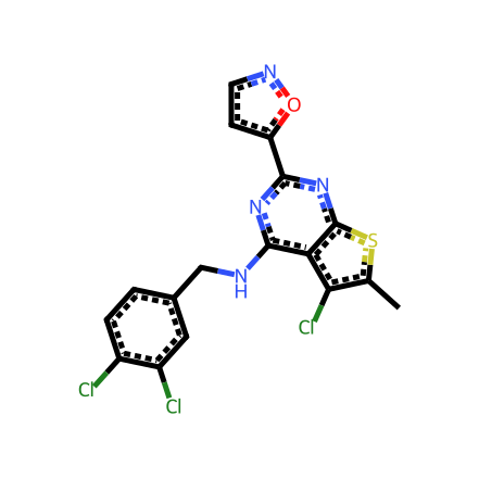 Cc1sc2nc(-c3ccno3)nc(NCc3ccc(Cl)c(Cl)c3)c2c1Cl